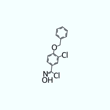 ON=C(Cl)c1ccc(OCc2ccccc2)c(Cl)c1